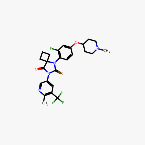 Cc1ncc(N2C(=O)C3(CCC3)N(c3ccc(OC4CCN(C)CC4)cc3F)C2=S)cc1C(F)(F)F